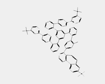 Cc1cc(-c2nccc3c2ccc2cc(C(C)(C)C)ccc23)ccc1-c1ccccc1-c1cc(-c2ccccc2-c2ccc(-c3cc(C(C)(C)C)ccn3)cc2)cc(-c2ccccc2-c2ccc(-c3cc(C(C)(C)C)ccn3)cc2)c1